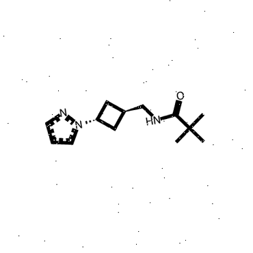 CC(C)(C)C(=O)NC[C@H]1C[C@H](n2cccn2)C1